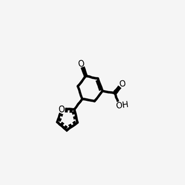 O=C1C=C(C(=O)O)CC(c2ccco2)C1